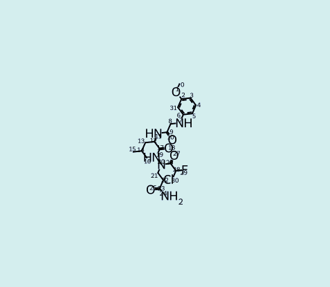 COc1cccc(NCC(=O)NC(CC(C)C)C(=O)NN(CCC(N)=O)C(=O)C(F)Cl)c1